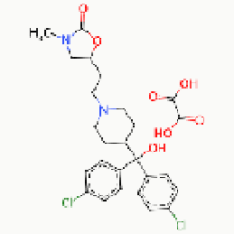 CN1CC(CCN2CCC(C(O)(c3ccc(Cl)cc3)c3ccc(Cl)cc3)CC2)OC1=O.O=C(O)C(=O)O